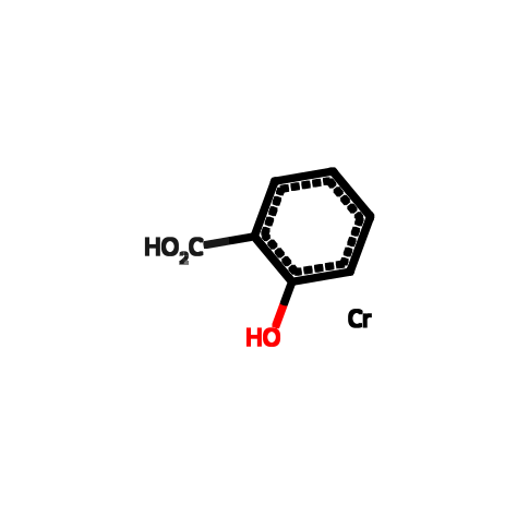 O=C(O)c1ccccc1O.[Cr]